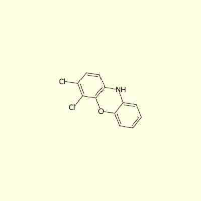 Clc1ccc2c(c1Cl)Oc1ccccc1N2